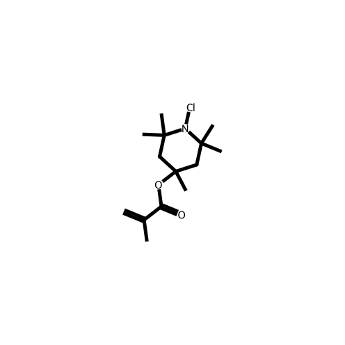 C=C(C)C(=O)OC1(C)CC(C)(C)N(Cl)C(C)(C)C1